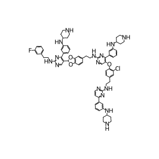 Fc1cccc(CCNc2ncc(C3Oc4ccc(CCNc5ncc(Oc6ccc(CCNc7nccc(-c8cccc(NC9CCNCC9)c8)n7)cc6Cl)c(-c6cccc(NC7CCNCC7)c6)n5)cc4O3)c(-c3cccc(NC4CCNCC4)c3)n2)c1